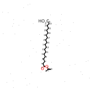 C=C(C)OC(=O)CCCCCCCCCCCCCCCCCCC(=O)O